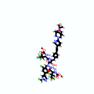 COC(=O)NC(C(=O)NC(Cc1ccc(C#Cc2ccc(N3CC4(C)CN(C5COC5)CC(C)(C3)C4=O)nc2)cc1)C(O)CN(Cc1c(F)cc(-c2cnn(C(F)F)c2)cc1F)NC(=O)C(NC(=O)OC)C(C)(C)C(F)(F)F)C(C)(C)C(F)(F)F